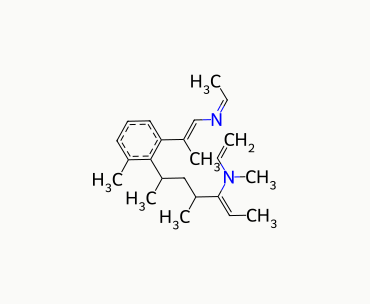 C=CN(C)/C(=C\C)C(C)CC(C)c1c(C)cccc1/C(C)=C/N=C\C